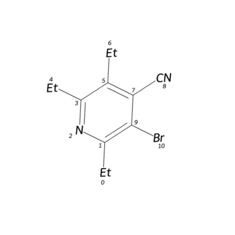 CCc1nc(CC)c(CC)c(C#N)c1Br